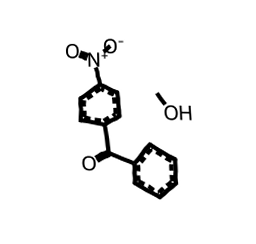 CO.O=C(c1ccccc1)c1ccc([N+](=O)[O-])cc1